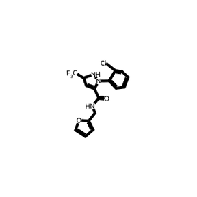 O=C(NCc1ccco1)C1=CC(C(F)(F)F)NN1c1ccccc1Cl